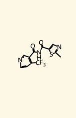 Cc1ncc(C(=O)NC(=O)c2cnccc2C(F)(F)F)s1